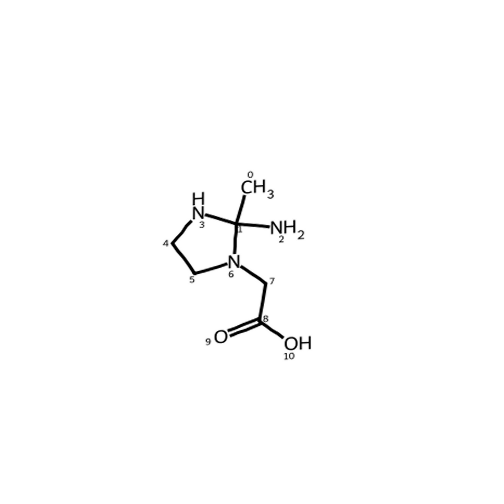 CC1(N)NCCN1CC(=O)O